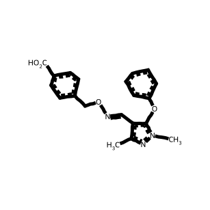 Cc1nn(C)c(Oc2ccccc2)c1C=NOCc1ccc(C(=O)O)cc1